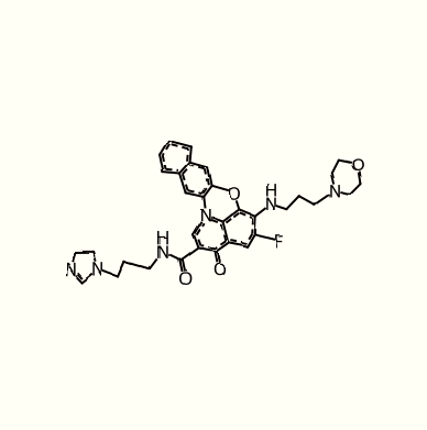 O=C(NCCCN1C=NCC1)c1cn2c3c(c(NCCCN4CCOCC4)c(F)cc3c1=O)Oc1cc3ccccc3cc1-2